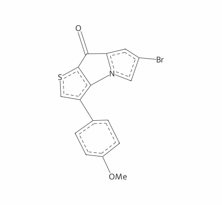 COc1ccc(-c2csc3c2-n2cc(Br)cc2C3=O)cc1